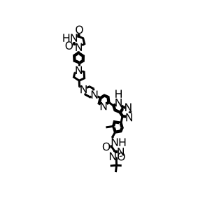 Cc1cc(-c2ncnc3[nH]c(-c4ccc(N5CCN(CC6CCN(c7ccc(N8CCC(=O)NC8=O)cc7)CC6)CC5)cn4)cc23)ccc1CNC(=O)c1noc(C(C)(C)C)n1